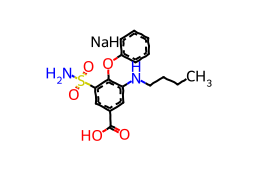 CCCCNc1cc(C(=O)O)cc(S(N)(=O)=O)c1Oc1ccccc1.[NaH]